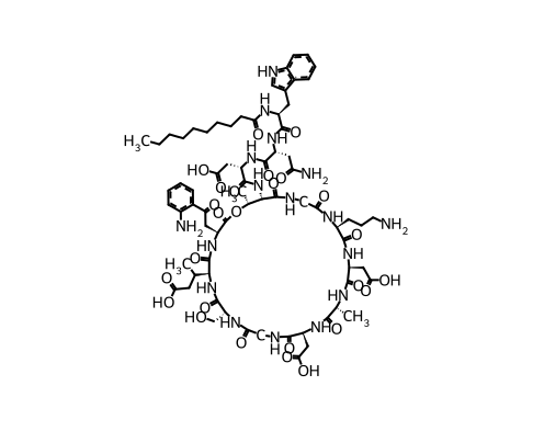 CCCCCCCCCC(=O)N[C@@H](Cc1c[nH]c2ccccc12)C(=O)N[C@H](CC(N)=O)C(=O)N[C@@H](CC(=O)O)C(=O)N[C@@H]1C(=O)NCC(=O)N[C@@H](CCCN)C(=O)N[C@@H](CC(=O)O)C(=O)N[C@H](C)C(=O)N[C@@H](CC(=O)O)C(=O)NCC(=O)N[C@H](CO)C(=O)N[C@@H](C(C)CC(=O)O)C(=O)N[C@@H](CC(=O)c2ccccc2N)C(=O)O[C@@H]1C